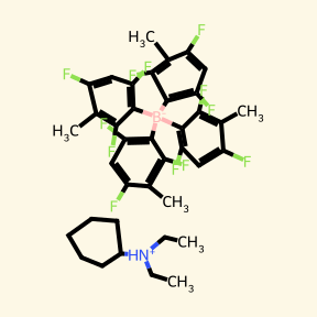 CC[NH+](CC)C1CCCCC1.Cc1c(F)cc(F)c([B-](c2c(F)cc(F)c(C)c2F)(c2c(F)cc(F)c(C)c2F)c2c(F)cc(F)c(C)c2F)c1F